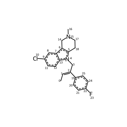 CC=C(Cn1c2c(c3cc(Cl)ccc31)CN(C)CC2)c1ccc(F)cc1